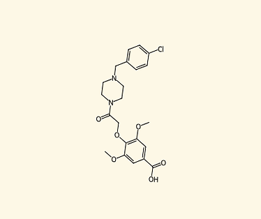 COc1cc(C(=O)O)cc(OC)c1OCC(=O)N1CCN(Cc2ccc(Cl)cc2)CC1